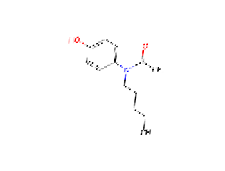 N#CCCCCN(C(=O)C(F)(F)F)c1ccc(O)cc1